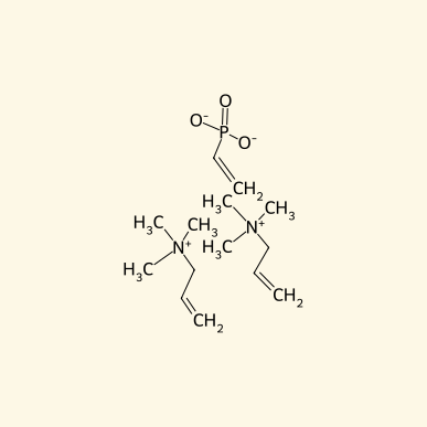 C=CC[N+](C)(C)C.C=CC[N+](C)(C)C.C=CP(=O)([O-])[O-]